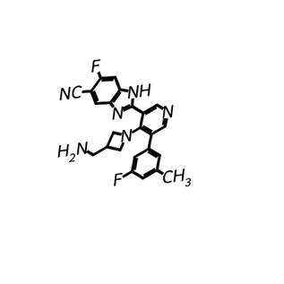 Cc1cc(F)cc(-c2cncc(-c3nc4cc(C#N)c(F)cc4[nH]3)c2N2CC(CN)C2)c1